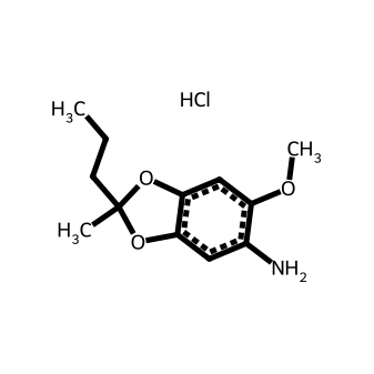 CCCC1(C)Oc2cc(N)c(OC)cc2O1.Cl